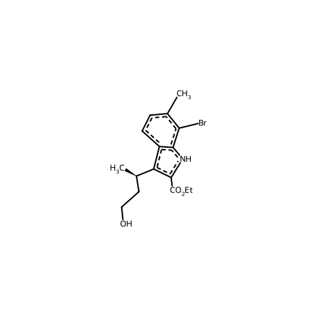 CCOC(=O)c1[nH]c2c(Br)c(C)ccc2c1[C@H](C)CCO